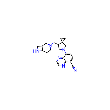 N#Cc1ccc(N2CC(CN3CCC4NCC4C3)C3(CC3)C2)c2nccnc12